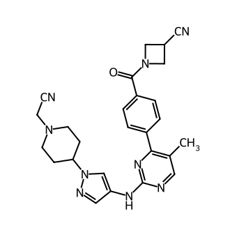 Cc1cnc(Nc2cnn(C3CCN(CC#N)CC3)c2)nc1-c1ccc(C(=O)N2CC(C#N)C2)cc1